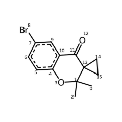 CC1(C)Oc2ccc(Br)cc2C(=O)C12CC2